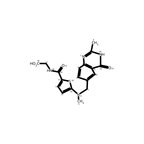 Cc1nc2ccc(CN(C)c3ccc(C(=O)NCC(=O)O)s3)cc2c(=O)[nH]1